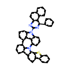 c1ccc(-c2nc(-n3c4cccc5c6cccc7c8ccc9c%10ccccc%10sc9c8n(c8cccc3c8c54)c67)nc3ccc4ccccc4c23)cc1